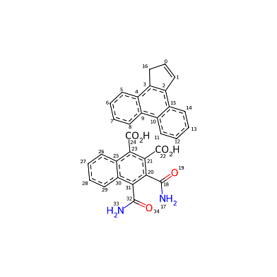 C1=Cc2c(c3ccccc3c3ccccc23)C1.NC(=O)c1c(C(=O)O)c(C(=O)O)c2ccccc2c1C(N)=O